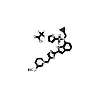 CCOC(=O)C1CCCN(Cc2cnc(-c3cc4cccc(N(CC5CC5)S(=O)(=O)c5cccs5)c4[nH]3)s2)C1.O=C(O)C(F)(F)F